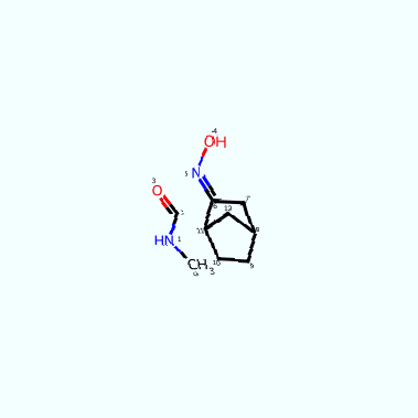 CNC=O.ON=C1CC2CCC1C2